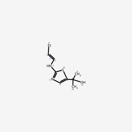 CC/C=C/Nc1ncc(C(C)(C)O)s1